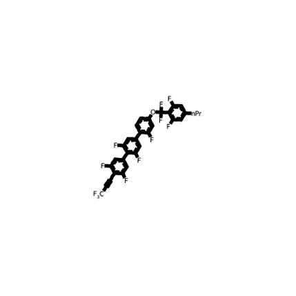 CCCc1cc(F)c(C(F)(F)Oc2ccc(-c3cc(F)c(-c4cc(F)c(C#CC(F)(F)F)c(F)c4)c(F)c3)c(F)c2)c(F)c1